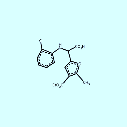 CCOC(=O)c1cc(C(Nc2ccccc2Cl)C(=O)O)oc1C